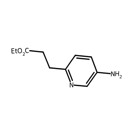 CCOC(=O)CCc1ccc(N)cn1